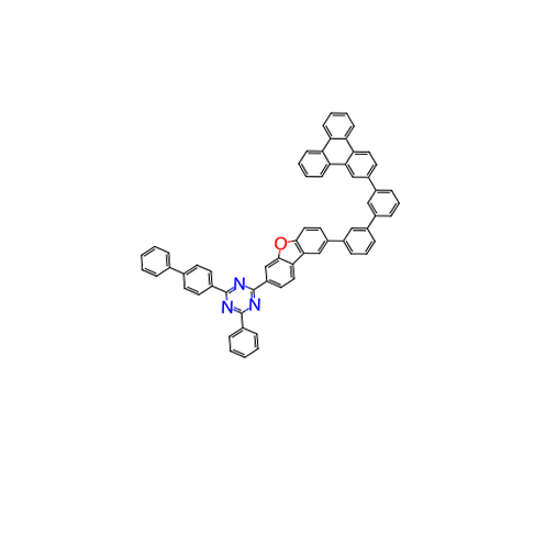 c1ccc(-c2ccc(-c3nc(-c4ccccc4)nc(-c4ccc5c(c4)oc4ccc(-c6cccc(-c7cccc(-c8ccc9c%10ccccc%10c%10ccccc%10c9c8)c7)c6)cc45)n3)cc2)cc1